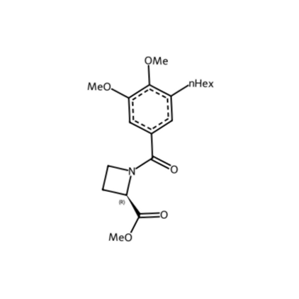 CCCCCCc1cc(C(=O)N2CC[C@@H]2C(=O)OC)cc(OC)c1OC